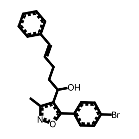 Cc1noc(-c2ccc(Br)cc2)c1C(O)CCC=Cc1ccccc1